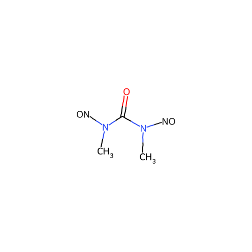 CN(N=O)C(=O)N(C)N=O